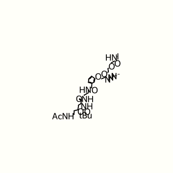 CC(=O)NCCCCC(NC(=O)OC(C)(C)C)C(=O)NCCNC(=O)c1cccc(OCC(N=[N+]=[N-])OCCOCC(=O)NI)c1